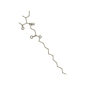 CCCCCCCCCCCCOC(=O)CCNC(C(C)=O)C(C)CC